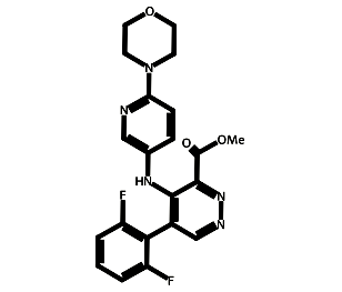 COC(=O)c1nncc(-c2c(F)cccc2F)c1Nc1ccc(N2CCOCC2)nc1